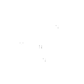 O=C1C=C[N]c2ccnn21